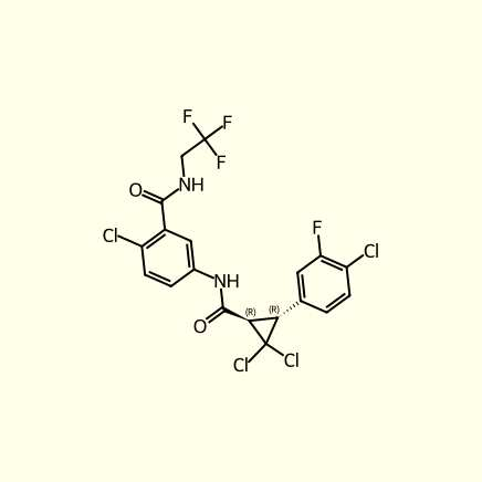 O=C(NCC(F)(F)F)c1cc(NC(=O)[C@H]2[C@H](c3ccc(Cl)c(F)c3)C2(Cl)Cl)ccc1Cl